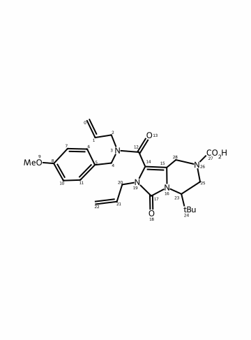 C=CCN(Cc1ccc(OC)cc1)C(=O)c1c2n(c(=O)n1CC=C)C(C(C)(C)C)CN(C(=O)O)C2